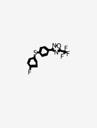 Fc1ccc(Sc2ccc(-c3noc(C(F)(F)F)n3)cc2)cc1